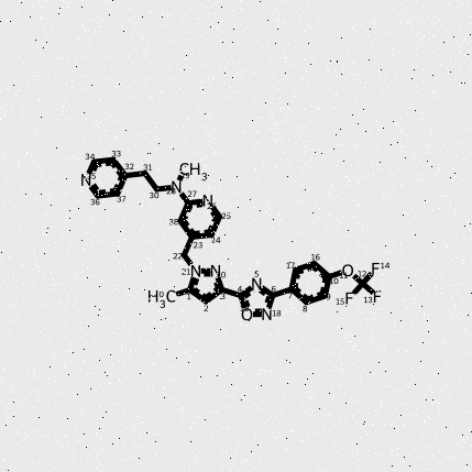 Cc1cc(-c2nc(-c3ccc(OC(F)(F)F)cc3)no2)nn1Cc1ccnc(N(C)CCc2ccncc2)c1